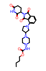 CCCCOC(=O)NN1CCN(C2CCN(c3cccc4c3C(=O)N(C3CCC(=O)NC3=O)C4=O)C2)CC1